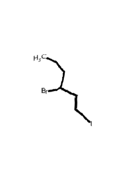 CCC(Br)CCI